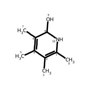 CC1=C(C)C(C)=C(C)C(O)N1